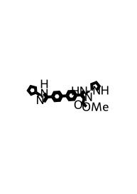 COC(=O)c1nc([C@@H]2CCCN2)[nH]c1-c1ccc(-c2ccc(-c3cnc(C4CCCC4)[nH]3)cc2)cc1